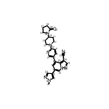 Cn1cc(-c2cc(-c3ccc(N4CCC(N5CCCC5=O)CC4)nc3)c3c(C#N)cnn3c2)cn1